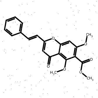 COC(=O)c1c(OC)cc2oc(/C=C/c3ccccc3)cc(=O)c2c1OC